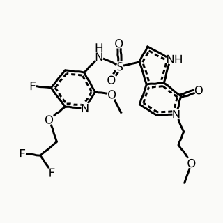 COCCn1ccc2c(S(=O)(=O)Nc3cc(F)c(OCC(F)F)nc3OC)c[nH]c2c1=O